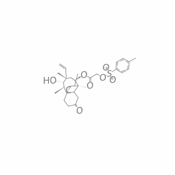 C=C[C@]1(C)C[C@@H](OC(=O)COS(=O)(=O)c2ccc(C)cc2)[C@]2(C)C(C)CC[C@]3(CCC(=O)CC32)[C@@H](C)[C@@H]1O